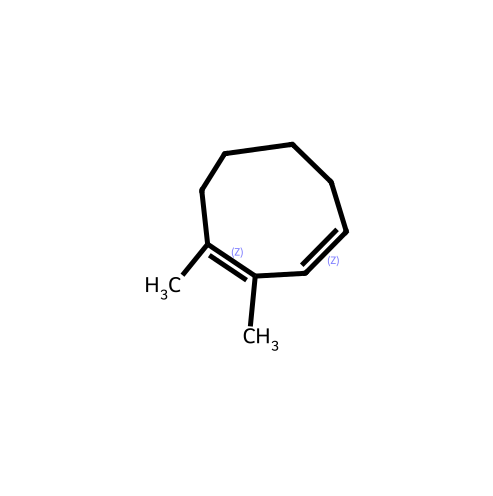 CC1=C(\C)CCCC/C=C\1